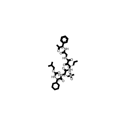 CCC[C@H](NC(=O)[C@H](CS(C)(=O)=O)NC(=O)[C@@H](NC(=O)OCC(C)C)C1CCCCC1)C(=O)C(=O)NCC(=O)N[C@H](C(C)=O)c1ccccc1